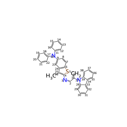 C=C(/C=N\c1sc2ccc(N(c3ccccc3)c3ccccc3)cc2c1C)n1c2ccccc2c2ccccc21